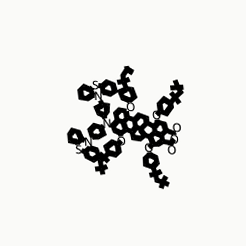 C=C(C)CC(C)(C)c1ccc(Oc2ccc3c(N(c4ccc(N5c6ccccc6Sc6ccccc65)cc4)c4ccc(N5c6ccccc6Sc6ccccc65)cc4)cc(Oc4ccc(C(C)(C)CC(C)(C)C)cc4)c4c5ccc6c7c(Oc8ccc(C(C)(C)CC(C)(C)C)cc8)cc8c9c(cc(Oc%10ccc(C(C)(C)CC(C)(C)C)cc%10)c(c%10ccc(c2c34)c5c%106)c97)C(=O)OC8=O)cc1